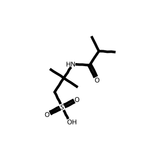 CC(C)C(=O)NC(C)(C)CS(=O)(=O)O